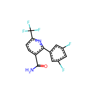 NC(=O)c1ccc(C(F)(F)F)nc1-c1cc(F)cc(F)c1